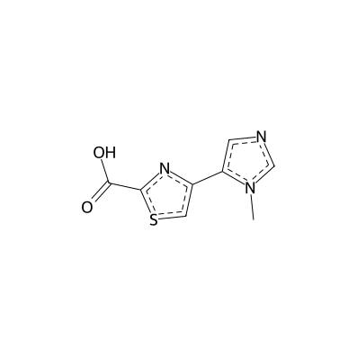 Cn1cncc1-c1csc(C(=O)O)n1